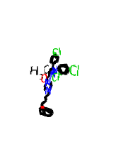 Cc1c(C(=O)N2CCN(CCCCC3C4CC5CC(C4)CC3C5)CC2)nn(-c2ccc(Cl)cc2Cl)c1-c1ccc(Cl)cc1